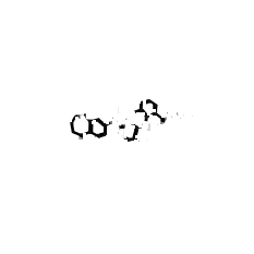 CCN1C(=O)CCC(C)(C)c2ccc(Nc3ncc(Cl)c(Nc4c(F)cccc4C(=O)NC)n3)cc21